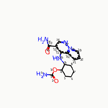 NC(=O)OC1CCCCC1Nc1c(C(N)=O)cnn2cccc12